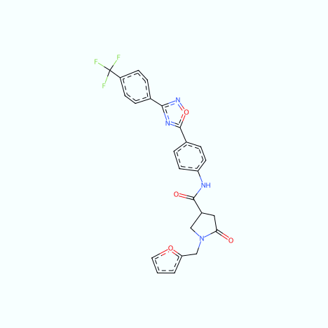 O=C(Nc1ccc(-c2nc(-c3ccc(C(F)(F)F)cc3)no2)cc1)C1CC(=O)N(Cc2ccco2)C1